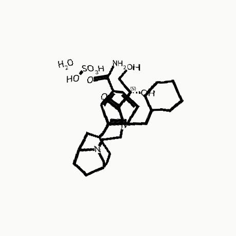 NC(=O)c1cccc(C2CC3CCC(C2)N3CCN(CC2CCCCC2)C(=O)[C@@H](O)CO)c1.O.O=S(=O)(O)O